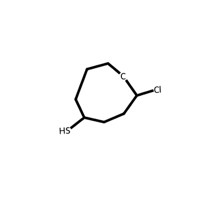 SC1CCCCC(Cl)CC1